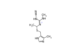 CN/C(=N/C(C)SCc1[nH]cnc1C)NC#N